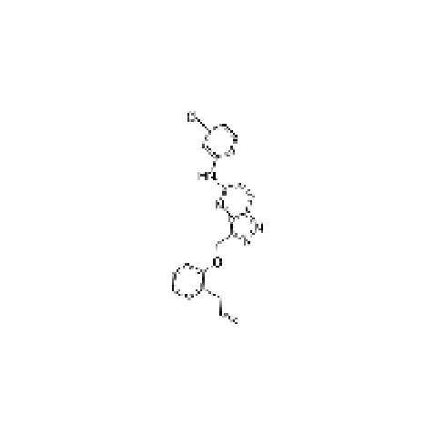 C=CCc1ccccc1OCc1nnc2ccc(Nc3cccc(Cl)c3)nn12